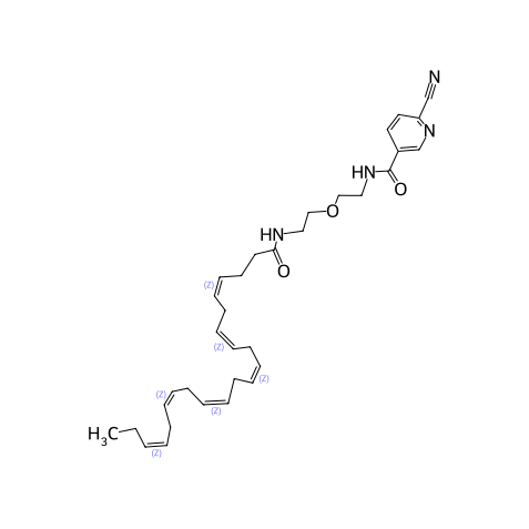 CC/C=C\C/C=C\C/C=C\C/C=C\C/C=C\C/C=C\CCC(=O)NCCOCCNC(=O)c1ccc(C#N)nc1